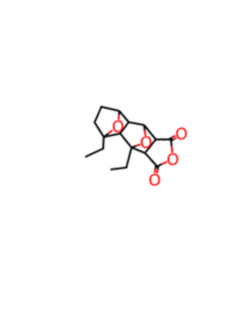 CCC12CCC(O1)C1C3OC(CC)(C4C(=O)OC(=O)C34)C12